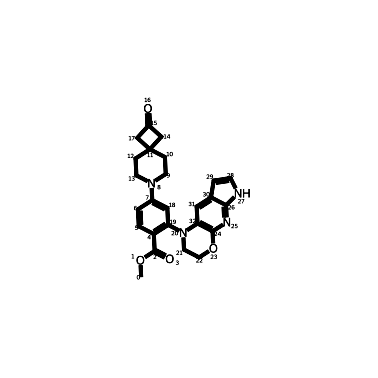 COC(=O)c1ccc(N2CCC3(CC2)CC(=O)C3)cc1N1CCOc2nc3[nH]ccc3cc21